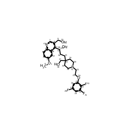 COc1ccc2ncc(CO)c([C@H](O)CCC3(CO)CCN(CCOc4cc(F)cc(F)c4F)CC3)c2c1